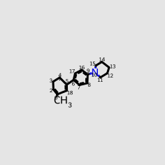 CC1=CC[CH]C(c2ccc(N3CCCCC3)cc2)=C1